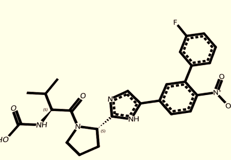 CC(C)[C@H](NC(=O)O)C(=O)N1CCC[C@H]1c1ncc(-c2ccc([N+](=O)[O-])c(-c3cccc(F)c3)c2)[nH]1